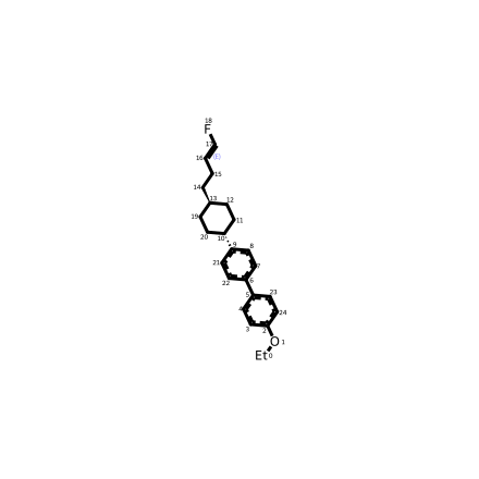 CCOc1ccc(-c2ccc([C@H]3CC[C@H](CC/C=C/F)CC3)cc2)cc1